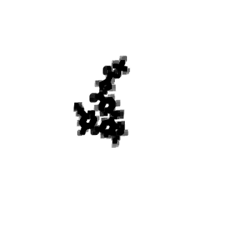 Cc1cc(C#N)ncc1Oc1cc(Nc2ccc(C(=O)N3CC(C(=O)OC(C)(C)C)C3)cn2)c2ncn(C)c2n1